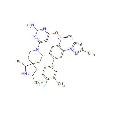 CCC1NC(C(=O)O)CC12CCN(c1cc(O[C@H](c3ccc(-c4ccc(F)c(C)c4)cc3-n3ccc(C)n3)C(F)(F)F)nc(N)n1)CC2